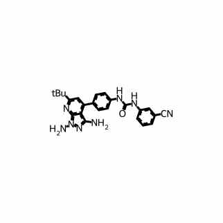 CC(C)(C)c1cc(-c2ccc(NC(=O)Nc3cccc(C#N)c3)cc2)c2c(N)nn(N)c2n1